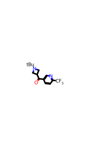 CC(C)(C)N1CC(C(=O)c2ccc(C(F)(F)F)nc2)C1